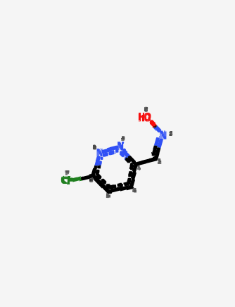 O/N=C\c1ccc(Cl)nn1